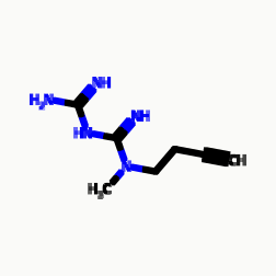 C#CCCN(C)C(=N)NC(=N)N